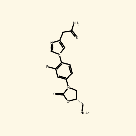 CC(=O)NC[C@H]1CN(c2ccc(-n3cnc(CC(N)=S)c3)c(F)c2)C(=O)O1